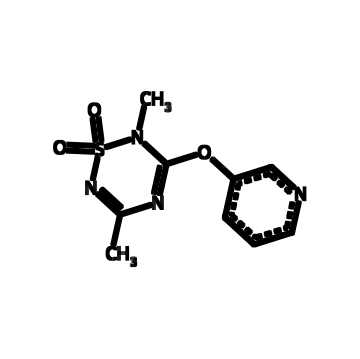 CC1=NS(=O)(=O)N(C)C(Oc2cccnc2)=N1